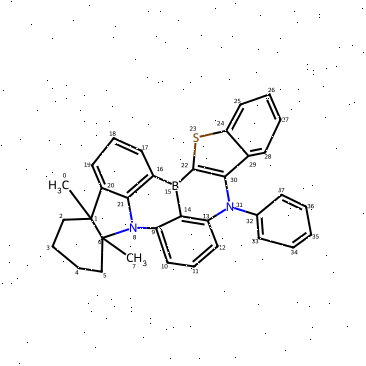 CC12CCCCC1(C)N1c3cccc4c3B(c3cccc2c31)c1sc2ccccc2c1N4c1ccccc1